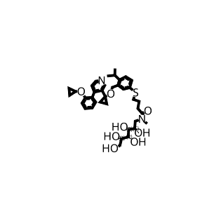 CC(C)c1ccc(SCCCC(=O)N(C)C[C@H](O)[C@@H](O)[C@H](O)[C@H](O)CO)cc1COC1(c2cnccc2-c2ccccc2OC2CC2)CC1